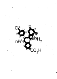 CCC[C@H](c1ccc(C(=O)O)cc1)[C@H](c1ccc(Cl)cc1)c1cn(P)c2c(F)cc(C)cc12